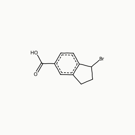 O=C(O)c1ccc2c(c1)CCC2Br